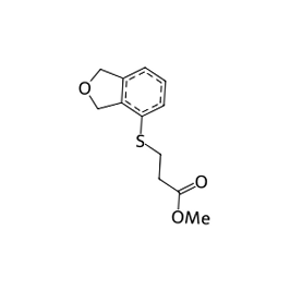 COC(=O)CCSc1cccc2c1COC2